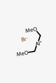 CO[CH2][Al+][CH2]OC.[Br-]